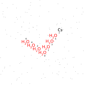 O.O.O.O.O.O.O.[Cs]